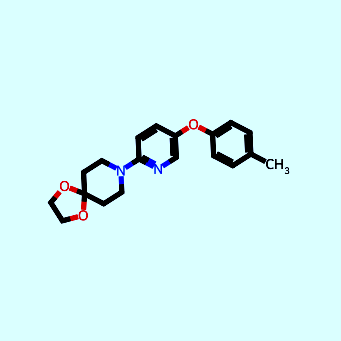 Cc1ccc(Oc2ccc(N3CCC4(CC3)OCCO4)nc2)cc1